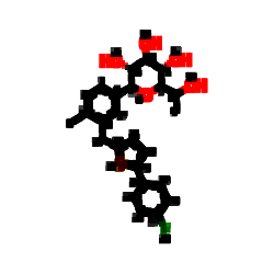 Cc1ccc([C@@H]2O[C@H](C(C)O)[C@@H](O)[C@H](O)[C@H]2O)cc1Cc1ccc(-c2ccc(F)cc2)s1